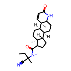 CCC(C)(C#N)NC(=O)C1CC[C@H]2[C@@H]3CCC4NC(=O)C=C[C@]4(C)[C@@H]3CC[C@]12C